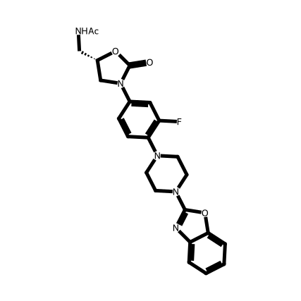 CC(=O)NC[C@H]1CN(c2ccc(N3CCN(c4nc5ccccc5o4)CC3)c(F)c2)C(=O)O1